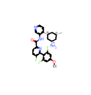 CCOc1cc(F)c(-c2nc(C(=O)Nc3cnccc3[C@@H]3C[C@H](C)C[C@H](N)C3)ccc2F)c(F)c1